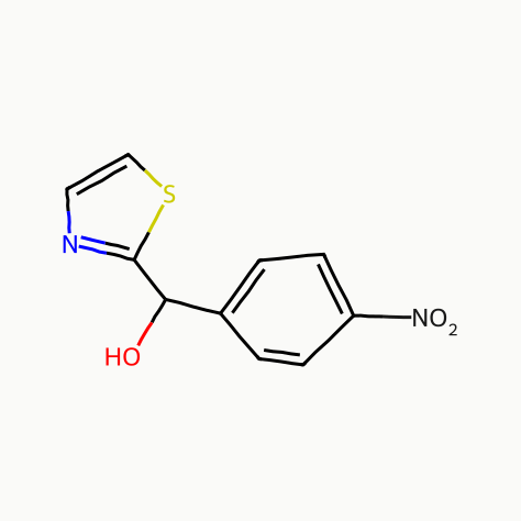 O=[N+]([O-])c1ccc(C(O)c2nccs2)cc1